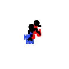 CCc1ccccc1Oc1ccccc1C(O)(CCCCOC)C1CCCN(C(=O)NC(C)CNC)C1